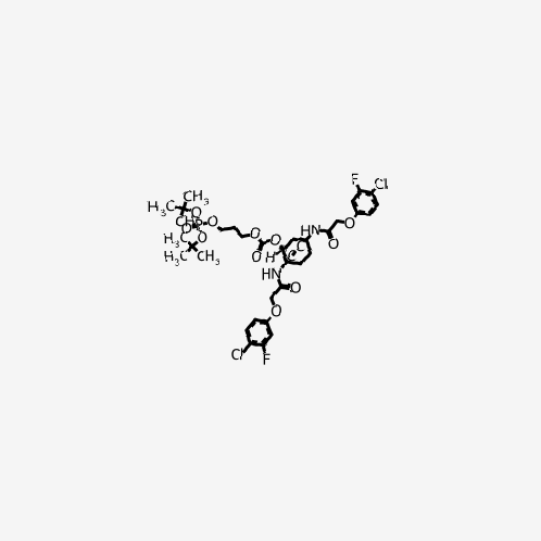 CC(C)(C)OP(=O)(OCCCOC(=O)O[C@@H]1CC2(NC(=O)COc3ccc(Cl)c(F)c3)CCC1(NC(=O)COc1ccc(Cl)c(F)c1)CC2)OC(C)(C)C